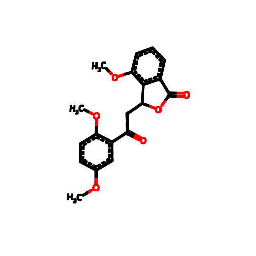 COc1ccc(OC)c(C(=O)CC2OC(=O)c3cccc(OC)c32)c1